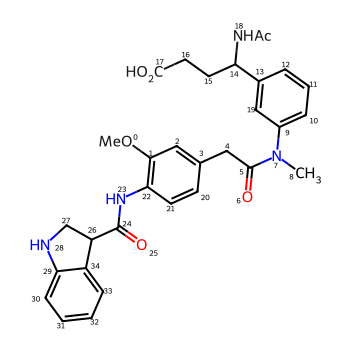 COc1cc(CC(=O)N(C)c2cccc(C(CCC(=O)O)NC(C)=O)c2)ccc1NC(=O)C1CNc2ccccc21